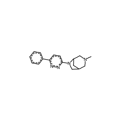 CN1CC2CC(C1)N(c1ccc(-c3ccccc3)nn1)C2